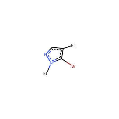 CCc1cnn(CC)c1Br